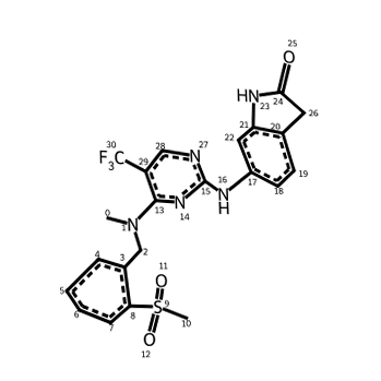 CN(Cc1ccccc1S(C)(=O)=O)c1nc(Nc2ccc3c(c2)NC(=O)C3)ncc1C(F)(F)F